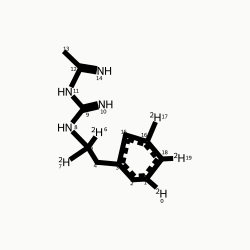 [2H]c1cc(CC([2H])([2H])NC(=N)NC(C)=N)cc([2H])c1[2H]